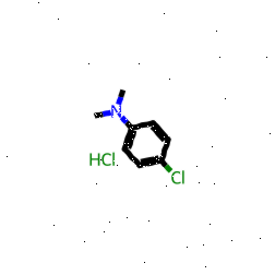 CN(C)c1ccc(Cl)cc1.Cl